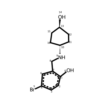 Oc1ccc(Br)cc1CN[C@H]1CC[C@H](O)CC1